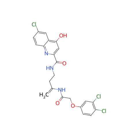 C=C(CCNC(=O)c1cc(O)c2cc(Cl)ccc2n1)NC(=O)COc1ccc(Cl)c(Cl)c1